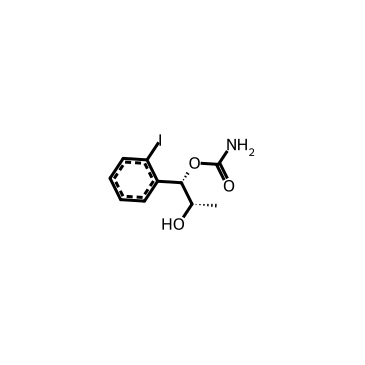 C[C@H](O)[C@@H](OC(N)=O)c1ccccc1I